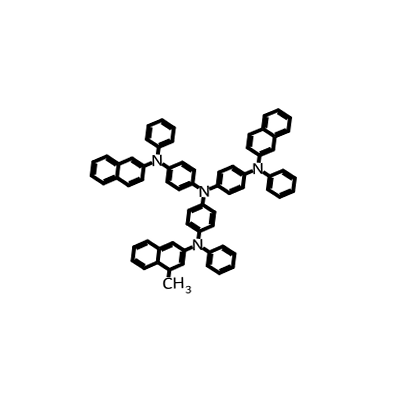 CC1C=C(N(c2ccccc2)c2ccc(N(c3ccc(N(c4ccccc4)c4ccc5ccccc5c4)cc3)c3ccc(N(c4ccccc4)c4ccc5ccccc5c4)cc3)cc2)C=C2C=CC=CC21